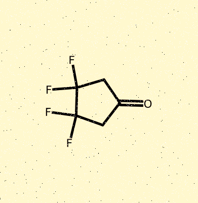 O=C1CC(F)(F)C(F)(F)C1